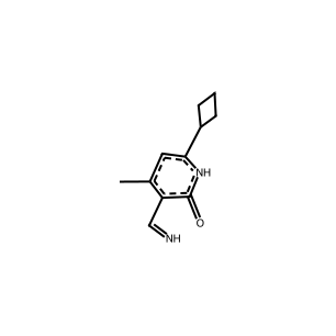 Cc1cc(C2CCC2)[nH]c(=O)c1C=N